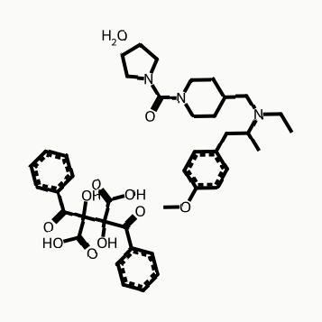 CCN(CC1CCN(C(=O)N2CCCC2)CC1)C(C)Cc1ccc(OC)cc1.O.O=C(O)C(O)(C(=O)c1ccccc1)C(O)(C(=O)O)C(=O)c1ccccc1